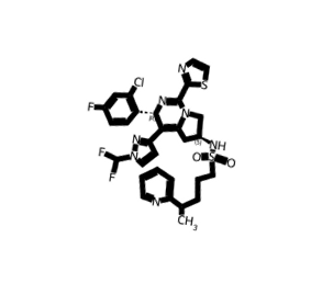 CC(CCCS(=O)(=O)N[C@H]1CC2=C(c3ccn(C(F)F)n3)[C@H](c3ccc(F)cc3Cl)N=C(c3nccs3)N2C1)c1ccccn1